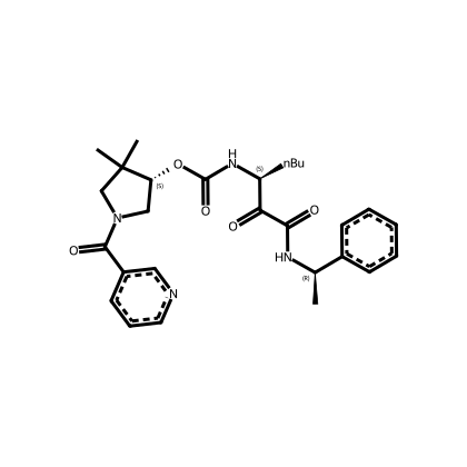 CCCC[C@H](NC(=O)O[C@@H]1CN(C(=O)c2cccnc2)CC1(C)C)C(=O)C(=O)N[C@H](C)c1ccccc1